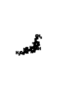 CCSc1ccc2[nH]c3cnc(-c4nc(CC)no4)cc3c2c1